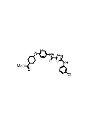 COC(=O)C1CCC(Oc2ccc(NC(=O)c3nnc(Nc4cccc(Cl)c4)o3)cn2)CC1